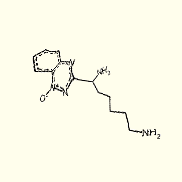 NCCCCCC(N)c1nc2ccccc2[n+]([O-])n1